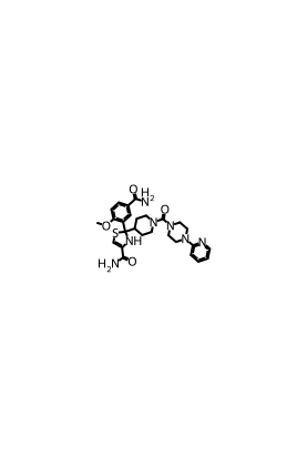 COc1ccc(C(N)=O)cc1C1(C2CCN(C(=O)N3CCN(c4ccccn4)CC3)CC2)NC(C(N)=O)=CS1